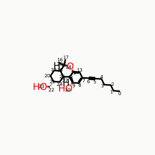 CCCCCC#Cc1cc(O)c2c(c1)OC(C)(C)[C@@H]1CC[C@@H](CO)C[C@@H]21